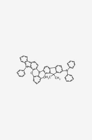 CC1(C)c2cc(N(c3ccccc3)c3ccccc3)ccc2-c2ccc3c(c21)Oc1cccc2c1B3c1ccc3c4ccccc4n(-c4ccccc4)c3c1O2